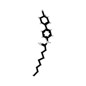 CCCCCCCCC(=O)Oc1ccc(C2=CCC(C)CC2)cc1